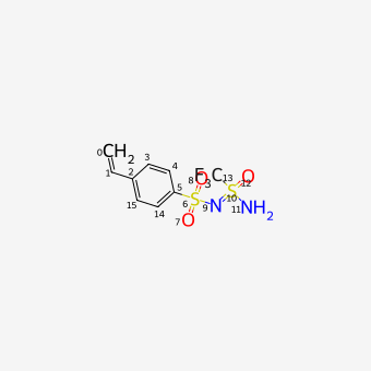 C=Cc1ccc(S(=O)(=O)N=S(N)(=O)C(F)(F)F)cc1